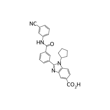 N#Cc1cccc(NC(=O)c2cccc(-c3nc4cc(C(=O)O)ccc4n3C3CCCC3)c2)c1